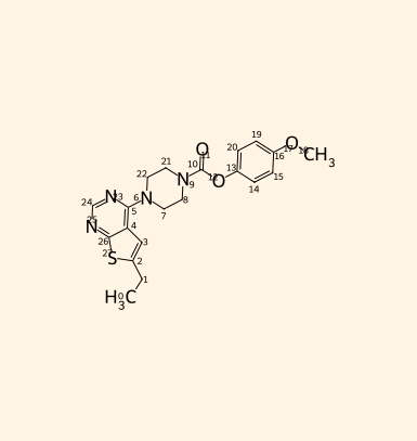 CCc1cc2c(N3CCN(C(=O)Oc4ccc(OC)cc4)CC3)ncnc2s1